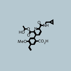 C=Cc1cc(C(=O)O)c(-c2ccc(C(=O)NCC3CC3)nc2C(=O)OC(C)O)cc1OC